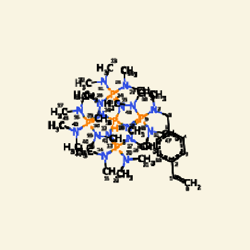 C=Cc1ccc(CN(C)P(=N[PH](N=P(N(C)C)(N(C)C)N(C)C)(N=P(N(C)C)(N(C)C)N(C)C)N=P(N(C)C)(N(C)C)N(C)C)(N(C)C)N(C)C)cc1